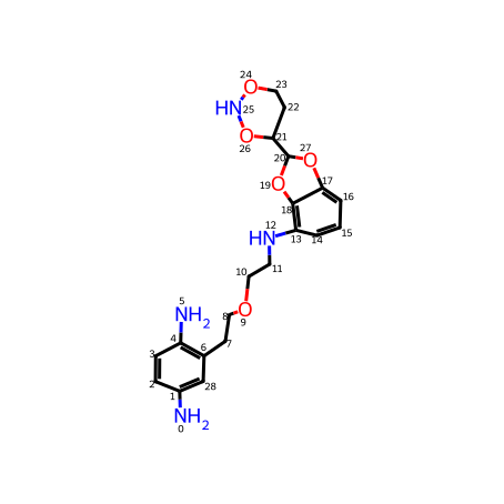 Nc1ccc(N)c(CCOCCNc2cccc3c2OC(C2CCONO2)O3)c1